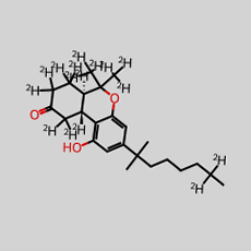 [2H]C([2H])(C)CCCCC(C)(C)c1cc(O)c2c(c1)OC(C([2H])([2H])[2H])(C([2H])([2H])[2H])[C@]1([2H])C([2H])([2H])C([2H])([2H])C(=O)C([2H])([2H])[C@@]21[2H]